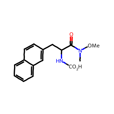 CON(C)C(=O)C(Cc1ccc2ccccc2c1)NC(=O)O